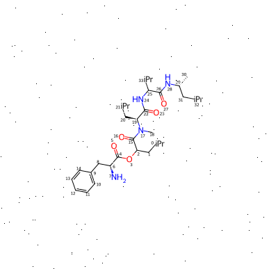 CC(C)CC(OC(=O)[C@@H](N)Cc1ccccc1)C(=O)N(C)[C@@H](CC(C)C)C(=O)NC(C(=O)N[C@H](C)CC(C)C)C(C)C